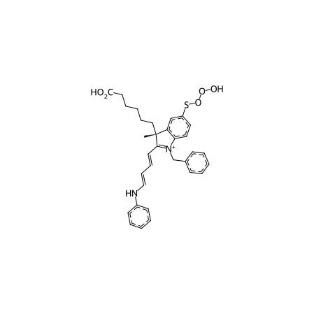 C[C@]1(CCCCCC(=O)O)C(/C=C/C=C/Nc2ccccc2)=[N+](Cc2ccccc2)c2ccc(SOOO)cc21